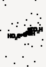 CC1(C(=O)O)CSC(c2ccc(OCCCCCC(=O)O)cc2O)=N1